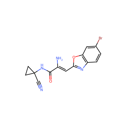 N#CC1(NC(=O)C(N)=Cc2nc3ccc(Br)cc3o2)CC1